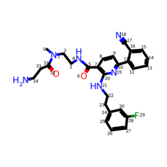 CN(CCNC(=O)c1ccc(-c2ccccc2C#N)nc1NCCc1cccc(F)c1)C(=O)CCN